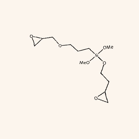 CO[Si](CCCOCC1CO1)(OC)OCCC1CO1